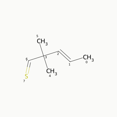 CC=CC(C)(C)[C]=S